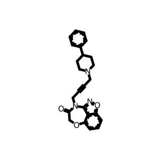 O=C1COc2cccc3onc(c23)N1CC#CCN1CCC(c2ccccc2)CC1